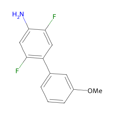 COc1cccc(-c2cc(F)c(N)cc2F)c1